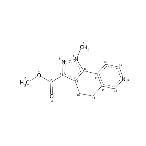 COC(=O)c1nn(C)c2c1CCc1cnccc1-2